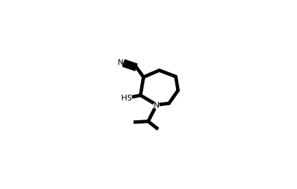 CC(C)N1CCCCC(C#N)C1S